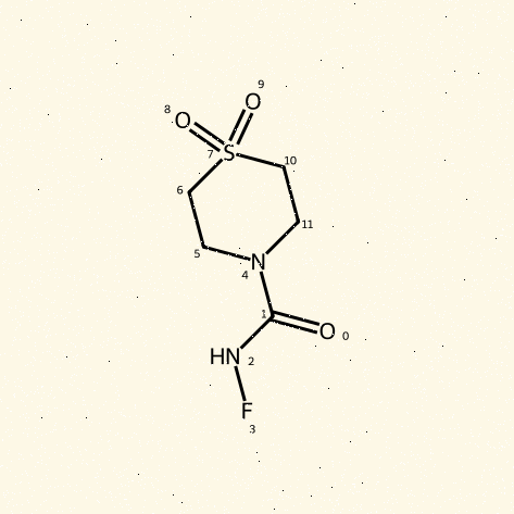 O=C(NF)N1CCS(=O)(=O)CC1